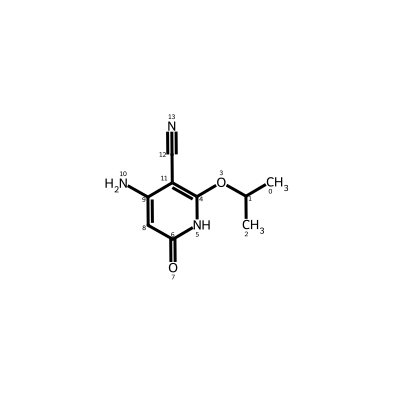 CC(C)Oc1[nH]c(=O)cc(N)c1C#N